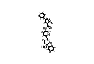 Cc1oc(-c2ccccc2)cc1C(=O)Nc1ccc(N2CCC(O)(c3ccccc3)CC2)nc1